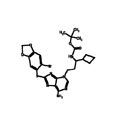 CC(C)(C)OC(=O)NC(CCn1cnc(N)c2nc(Sc3cc4c(cc3Br)OCO4)nc1-2)C1CCC1